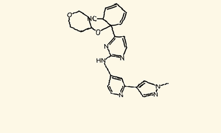 Cn1cc(-c2cc(Nc3nccc(C4(OC5CCOCC5)C=CC=CC4C#N)n3)ccn2)cn1